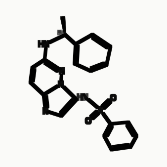 C[C@H](Nc1ccc2ncc(NS(=O)(=O)c3ccccc3)n2n1)c1ccccc1